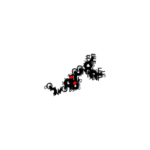 COCCN(C)CCOc1ccc(CN(C(=O)CC(=O)Nc2ccc(C(F)(F)F)cc2-c2cc(C(F)(F)F)ncn2)N(C)C2(C(=O)OC)CCCC2)c(F)c1F